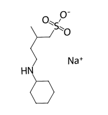 CC(CCNC1CCCCC1)CS(=O)(=O)[O-].[Na+]